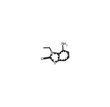 CCn1c(=O)sc2cccc(N)c21